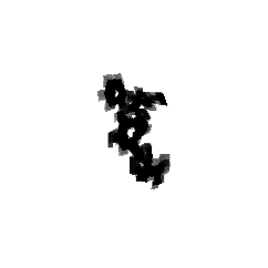 O=C(N(Cc1ccc(-c2nnc(C(F)F)o2)cc1F)c1ccccc1)C1(F)CNC1